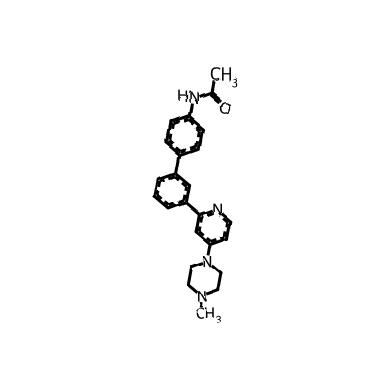 CC(=O)Nc1ccc(-c2cccc(-c3cc(N4CCN(C)CC4)ccn3)c2)cc1